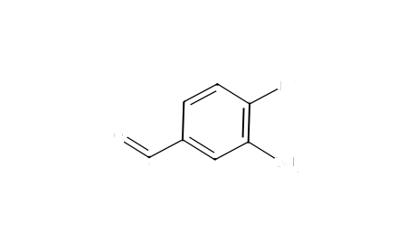 Bc1cc(C=O)ccc1F